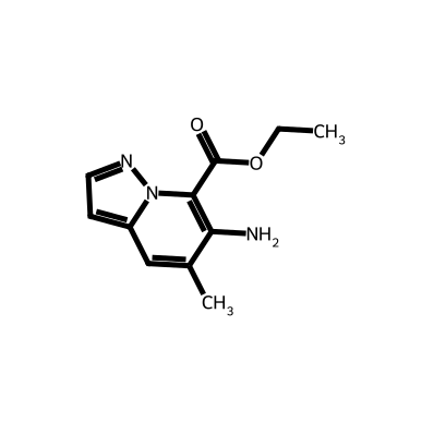 CCOC(=O)c1c(N)c(C)cc2ccnn12